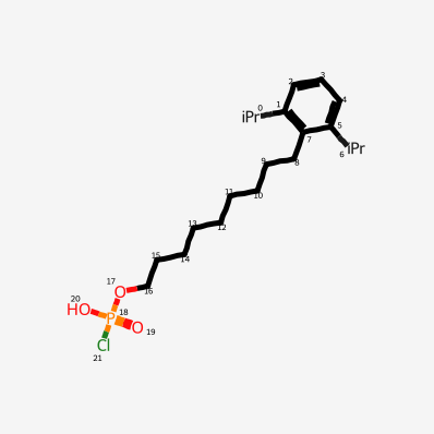 CC(C)c1cccc(C(C)C)c1CCCCCCCCCOP(=O)(O)Cl